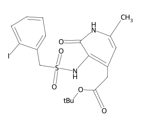 Cc1cc(CC(=O)OC(C)(C)C)c(NS(=O)(=O)Cc2ccccc2I)c(=O)[nH]1